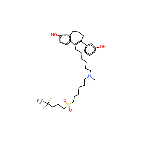 CN(CCCCCCC1=C(c2cccc(O)c2)CCCc2cc(O)ccc21)CCCCCCS(=O)(=O)CCCC(F)(F)C(F)(F)F